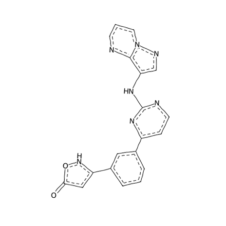 O=c1cc(-c2cccc(-c3ccnc(Nc4cnn5cccnc45)n3)c2)[nH]o1